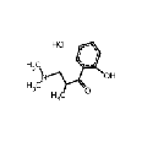 CC(CN(C)C)C(=O)c1ccccc1O.Cl